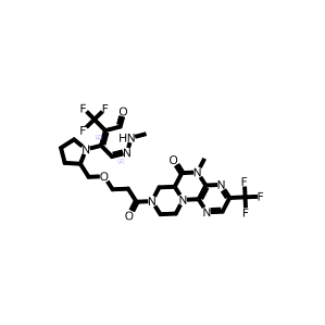 CN/N=C\C(=C(/C=O)C(F)(F)F)N1CCCC1COCCC(=O)N1CCN2c3ncc(C(F)(F)F)nc3N(C)C(=O)C2C1